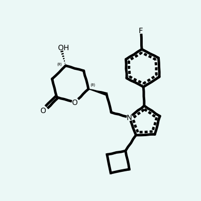 O=C1C[C@H](O)C[C@@H](CCn2c(-c3ccc(F)cc3)ccc2C2CCC2)O1